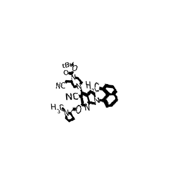 Cc1cccc2cccc(N3CCc4c(nc(OC[C@@H]5CCCN5C)c(C#N)c4N4CCN(C(=O)OC(C)(C)C)C(CC#N)C4)C3)c12